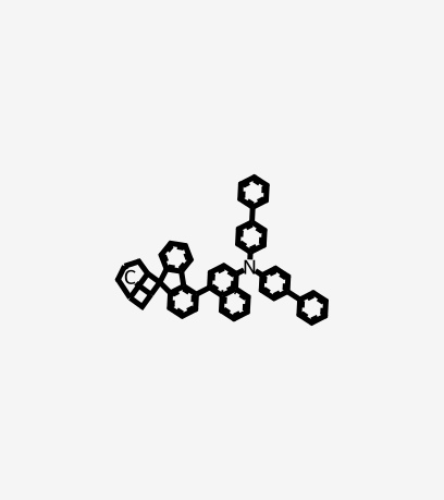 c1ccc(-c2ccc(N(c3ccc(-c4ccccc4)cc3)c3ccc(-c4cccc5c4-c4ccccc4C54C5CC6CC7CC4C75C6)c4ccccc34)cc2)cc1